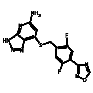 Nc1cc(SCc2cc(F)c(-c3ncon3)cc2F)c2nn[nH]c2n1